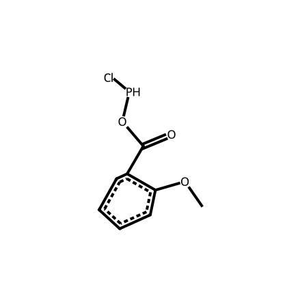 COc1ccccc1C(=O)OPCl